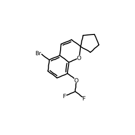 FC(F)Oc1ccc(Br)c2c1OC1(C=C2)CCCC1